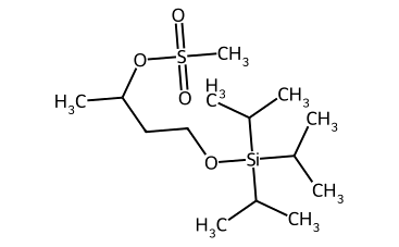 CC(CCO[Si](C(C)C)(C(C)C)C(C)C)OS(C)(=O)=O